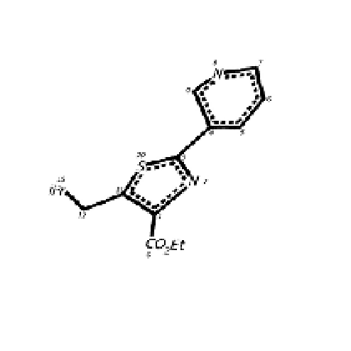 CCOC(=O)c1nc(-c2cccnc2)sc1CC(C)C